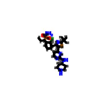 CCC(c1cccc(-c2nc(C(C)(C)C)sc2-c2ccnc(NC3CCNCC3)n2)c1F)S(N)(=O)=O